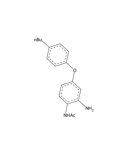 CCCCc1ccc(Oc2ccc(NC(C)=O)c(N)c2)cc1